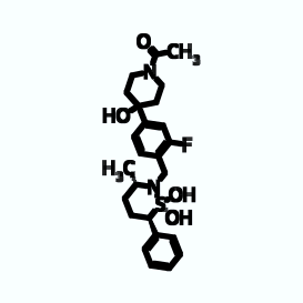 CC(=O)N1CCC(O)(c2ccc(CN3[C@@H](C)CC[C@H](c4ccccc4)S3(O)O)c(F)c2)CC1